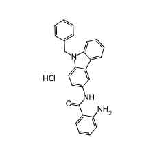 Cl.Nc1ccccc1C(=O)Nc1ccc2c(c1)c1ccccc1n2Cc1ccccc1